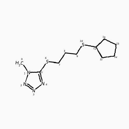 Cn1nnnc1SCCCSC1CCCC1